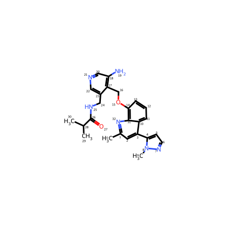 Cc1cc(-c2ccnn2C)c2cccc(OCc3c(N)cncc3CNC(=O)C(C)C)c2n1